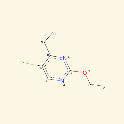 CCOc1ncc(F)c(CC)n1